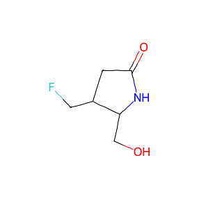 O=C1CC(CF)C(CO)N1